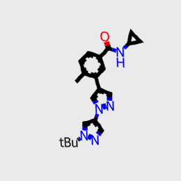 Cc1ccc(C(=O)NC2CC2)cc1-c1cnn(-c2cnn(C(C)(C)C)c2)c1